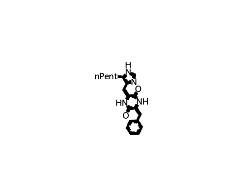 CCCCCc1[nH]cnc1/C=c1/[nH]c(=O)/c(=C\c2ccccc2)[nH]c1=O